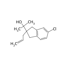 C=CCC1(C(C)(C)O)Cc2ccc(Cl)cc2C1